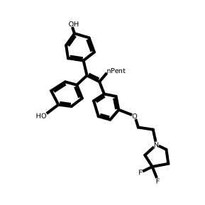 CCCCCC(=C(c1ccc(O)cc1)c1ccc(O)cc1)c1cccc(OCCN2CCC(F)(F)C2)c1